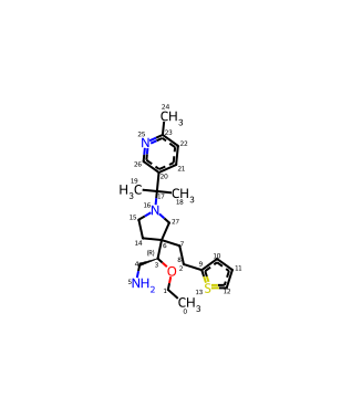 CCO[C@@H](CN)C1(CCc2cccs2)CCN(C(C)(C)c2ccc(C)nc2)C1